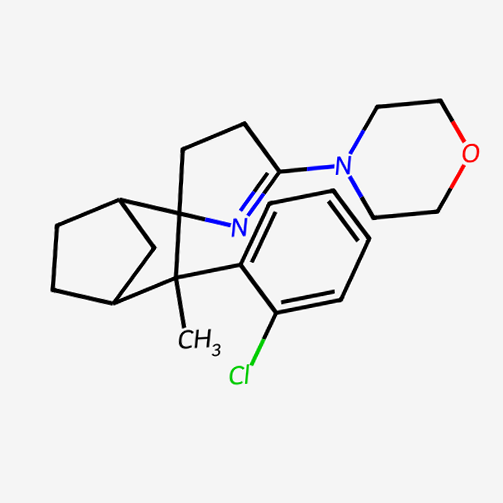 CC1(c2ccccc2Cl)C2CCC(C2)C12CCC(N1CCOCC1)=N2